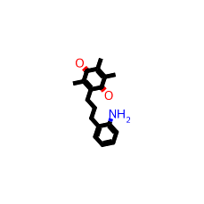 CC1=C(C)C(=O)C(CCCc2ccccc2N)=C(C)C1=O